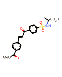 COC(=O)c1ccc(/C=C/C(=O)c2ccc(S(=O)(=O)NC(C)C(=O)O)cc2)cc1